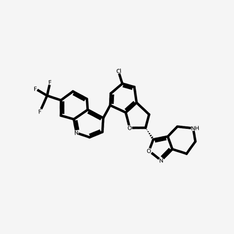 FC(F)(F)c1ccc2c(-c3cc(Cl)cc4c3O[C@@H](c3onc5c3CNCC5)C4)ccnc2c1